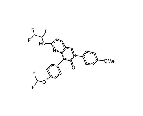 COc1ccc(-n2cc3ccc(NC(F)C(F)F)nc3c(-c3ccc(OC(F)F)cc3)c2=O)cc1